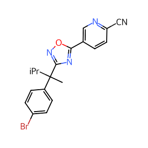 CC(C)C(C)(c1ccc(Br)cc1)c1noc(-c2ccc(C#N)nc2)n1